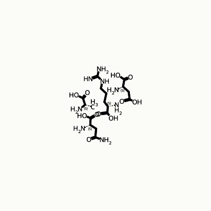 C[C@H](N)C(=O)O.N=C(N)NCCC[C@H](N)C(=O)O.NC(=O)C[C@H](N)C(=O)O.N[C@@H](CC(=O)O)C(=O)O